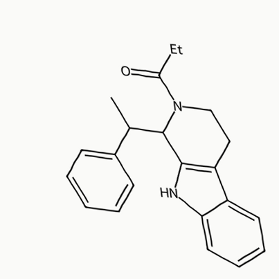 CCC(=O)N1CCc2c([nH]c3ccccc23)C1C(C)c1ccccc1